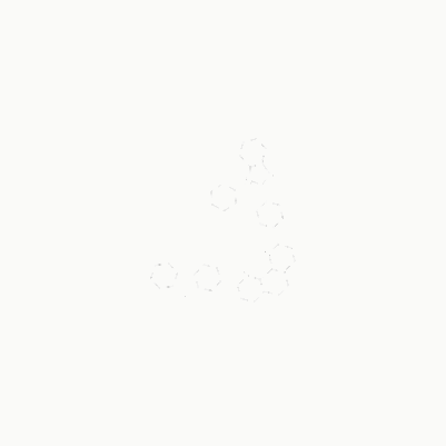 CC1(C)c2ccccc2-c2ccc(-c3ccc4ccc5ccc(-c6ccc(-c7nc8ccccc8n7-c7ccccc7)cc6)nc5c4n3)cc21